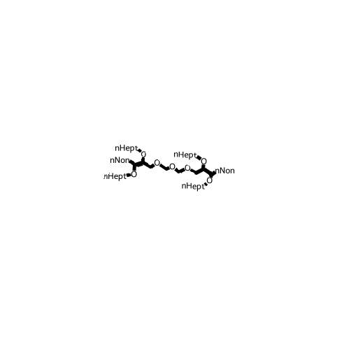 CCCCCCCCCC(OCCCCCCC)=C(COCOCOCC(OCCCCCCC)=C(CCCCCCCCC)OCCCCCCC)OCCCCCCC